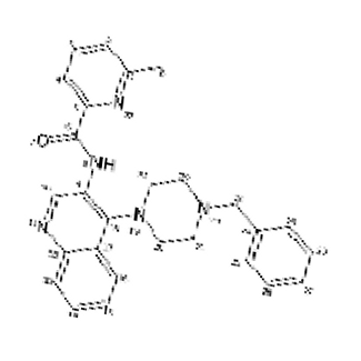 Cc1cccc(C(=O)Nc2cnc3ccccc3c2N2CCN(Cc3ccccc3)CC2)n1